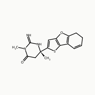 CN1C(=N)N[C@](C)(c2cc3oc4c(c3s2)C=CCC4)CC1=O